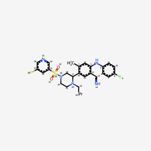 Cc1cc(Nc2ccc(F)cc2)c(C=N)cc1C1CN(S(=O)(=O)c2cncc(F)c2)CCN1CC(C)C